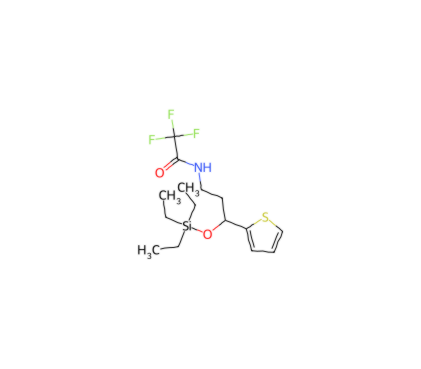 CC[Si](CC)(CC)OC(CCNC(=O)C(F)(F)F)c1cccs1